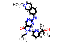 C=CCn1c(=O)c2cnc(Nc3ccc4c(c3)CN(C(=O)O)CC4)nc2n1-c1cccc(C(C)(C)O)n1